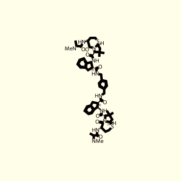 CNC(C)C(=O)N[C@H]1CCS[C@H]2CC(C)(C)[C@@H](C(=O)N[C@H]3c4ccccc4C[C@H]3C(=O)NCc3ccc(CNC(=O)[C@@H]4Cc5ccccc5[C@@H]4NC(=O)[C@H]4N5C(=O)[C@@H](NC(=O)C(C)NC)CCS[C@H]5CC4(C)C)cc3)N2C1=O